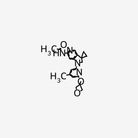 CC(=O)Nc1cc2c(cn1)C1(CC1)CN2c1cc(C)cc(OC2COC2)n1